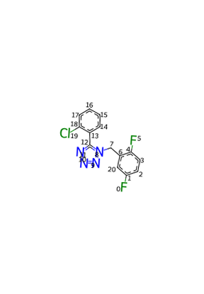 Fc1ccc(F)c(Cn2nnnc2-c2ccccc2Cl)c1